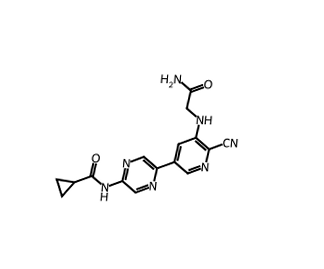 N#Cc1ncc(-c2cnc(NC(=O)C3CC3)cn2)cc1NCC(N)=O